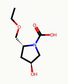 CCOC[C@H]1C[C@H](O)CN1C(=O)O